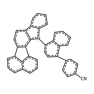 N#Cc1ccc(-c2ccc(-n3c4ccccc4c4ccc5c(c43)-c3cccc4cccc-5c34)c3ccccc23)cc1